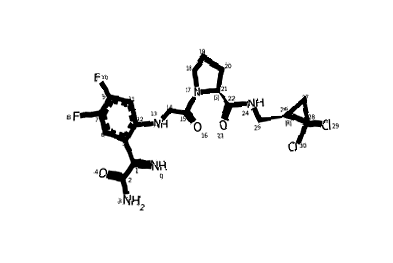 N=C(C(N)=O)c1cc(F)c(F)cc1NCC(=O)N1CCC[C@H]1C(=O)NC[C@H]1CC1(Cl)Cl